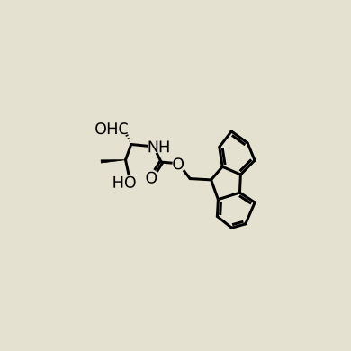 C[C@H](O)[C@H](C=O)NC(=O)OCC1c2ccccc2-c2ccccc21